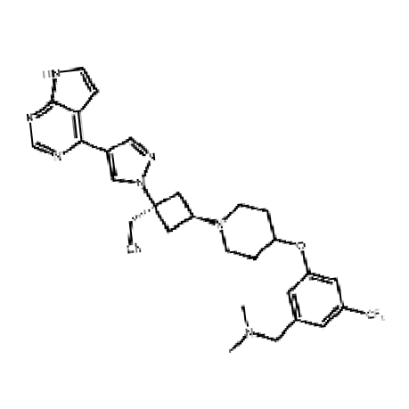 CN(C)Cc1cc(OC2CCN([C@H]3C[C@@](CC#N)(n4cc(-c5ncnc6[nH]ccc56)cn4)C3)CC2)cc(C(F)(F)F)c1